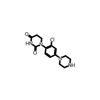 O=C1CCN(c2ccc(N3CCNCC3)cc2Cl)C(=O)N1